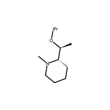 CC(C)O[C@@H](C)[C@@H]1CCCCN1C